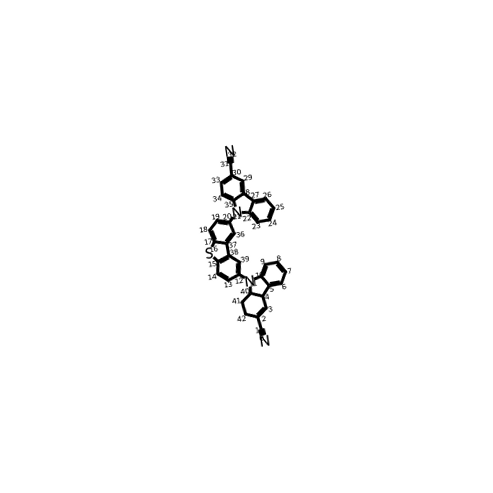 N#CC1=CC2c3ccccc3N(c3ccc4sc5ccc(-n6c7ccccc7c7cc(C#N)ccc76)cc5c4c3)C2CC1